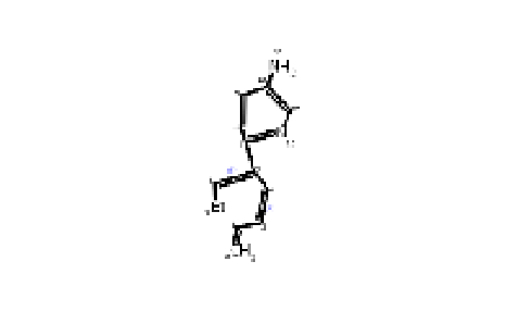 C=C/C=C\C(=C/CC)c1ccc(N)cn1